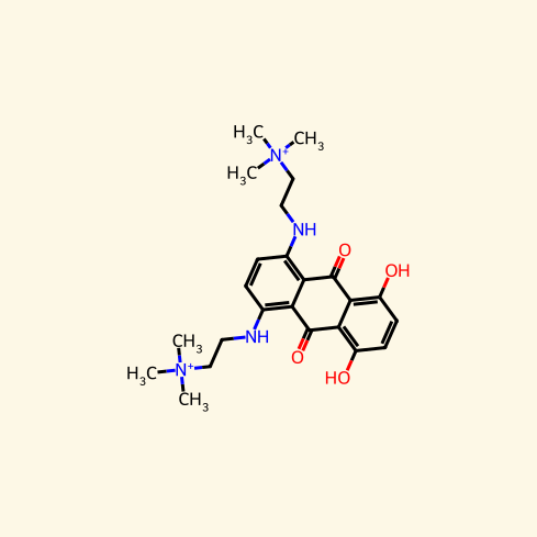 C[N+](C)(C)CCNc1ccc(NCC[N+](C)(C)C)c2c1C(=O)c1c(O)ccc(O)c1C2=O